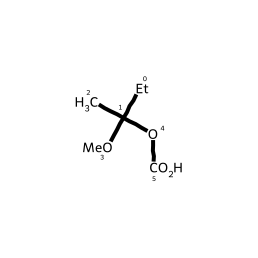 CCC(C)(OC)OC(=O)O